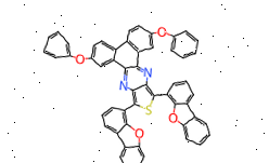 c1ccc(Oc2ccc3c4ccc(Oc5ccccc5)cc4c4nc5c(-c6cccc7c6oc6ccccc67)sc(-c6cccc7c6oc6ccccc67)c5nc4c3c2)cc1